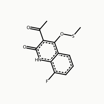 CSOc1c(C(C)=O)c(=O)[nH]c2c(F)cccc12